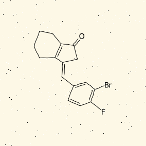 O=C1CC(=Cc2ccc(F)c(Br)c2)C2=C1CCCC2